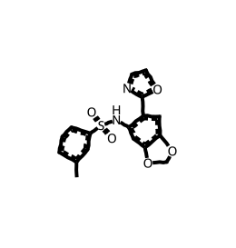 Cc1cccc(S(=O)(=O)Nc2cc3c(cc2-c2ncco2)OCO3)c1